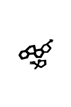 BrC1CCc2ccc3c(ccc4ccccc43)c2C1.CC1(O)CC=CO1